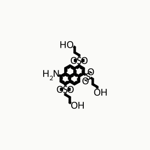 Nc1cc(S(=O)(=O)CCCO)c2ccc3c(S(=O)(=O)CCCO)cc(S(=O)(=O)CCCO)c4ccc1c2c43